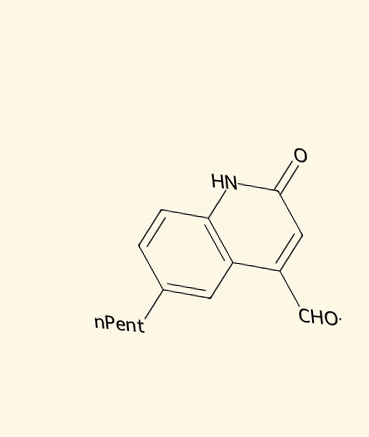 CCCCCc1ccc2[nH]c(=O)cc([C]=O)c2c1